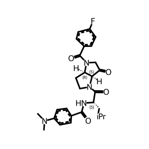 CC(C)C[C@H](NC(=O)c1ccc(N(C)C)cc1)C(=O)N1CC[C@@H]2[C@H]1C(=O)CN2C(=O)c1ccc(F)cc1